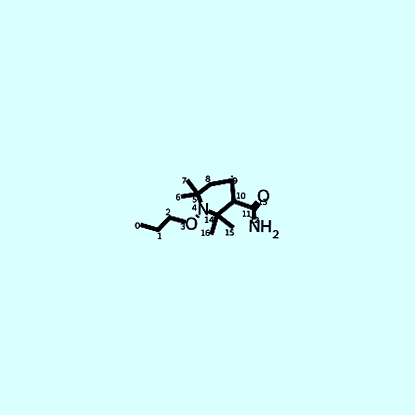 CCCON1C(C)(C)C[CH]C(C(N)=O)C1(C)C